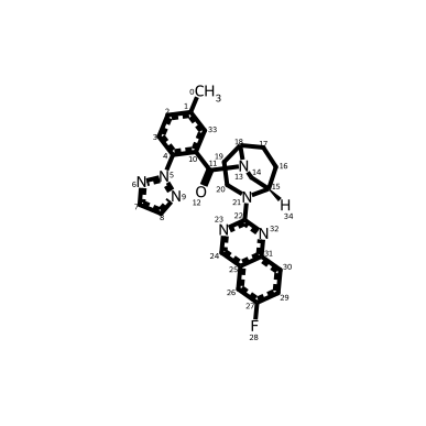 Cc1ccc(-n2nccn2)c(C(=O)N2C[C@@H]3CCC2CCN3c2ncc3cc(F)ccc3n2)c1